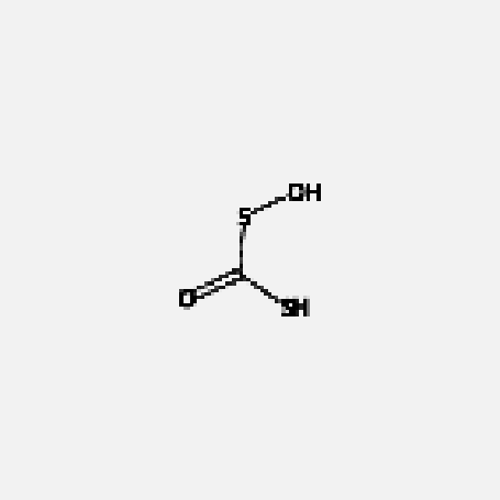 O=C(S)SO